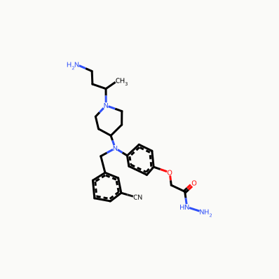 CC(CCN)N1CCC(N(Cc2cccc(C#N)c2)c2ccc(OCC(=O)NN)cc2)CC1